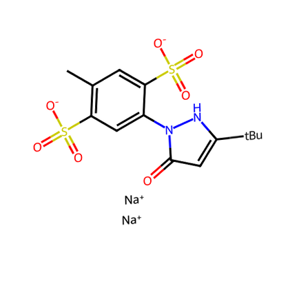 Cc1cc(S(=O)(=O)[O-])c(-n2[nH]c(C(C)(C)C)cc2=O)cc1S(=O)(=O)[O-].[Na+].[Na+]